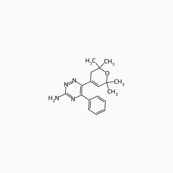 CC1(C)C=C(c2nnc(N)nc2-c2ccccc2)CC(C)(C)O1